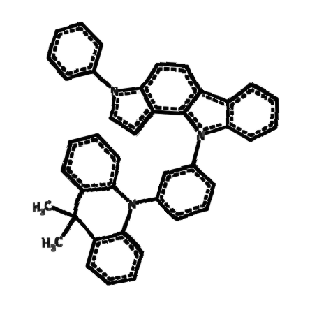 CC1(C)c2ccccc2N(c2cccc(-n3c4ccccc4c4ccc5c(ccn5-c5ccccc5)c43)c2)c2ccccc21